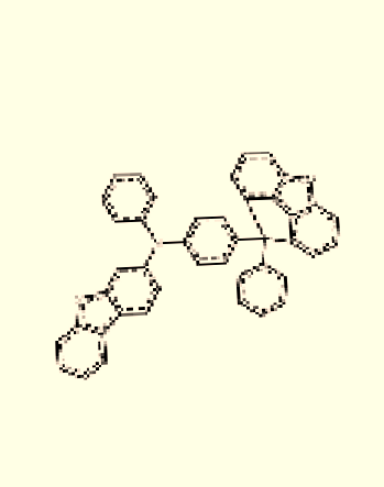 c1ccc(N(c2ccc(C3(c4ccccc4)c4cccc5oc6cccc3c6c45)cc2)c2ccc3c(c2)sc2ccccc23)cc1